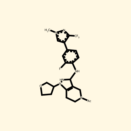 CC(=O)N1CCC2=C(C1)C(Nc1ccc(-c3cn(C)nc3C(F)(F)F)cc1F)NN2C1CCOC1